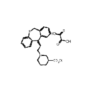 CCOC(=O)C1CCCN(CC=C2c3ccccc3CSc3ccccc32)C1.O=C(O)C(=O)O